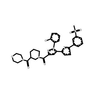 CS(=O)(=O)c1cccc(-c2ccc(-c3cc(C(=O)N4CCCC(C(=O)N5CCOCC5)C4)nn3-c3ccccc3Cl)s2)c1